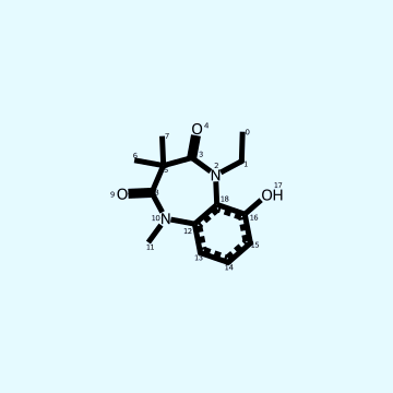 CCN1C(=O)C(C)(C)C(=O)N(C)c2cccc(O)c21